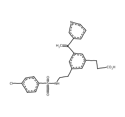 C=C(c1cccnc1)c1cc(CCNS(=O)(=O)c2ccc(Cl)cc2)cc(CCC(=O)O)c1